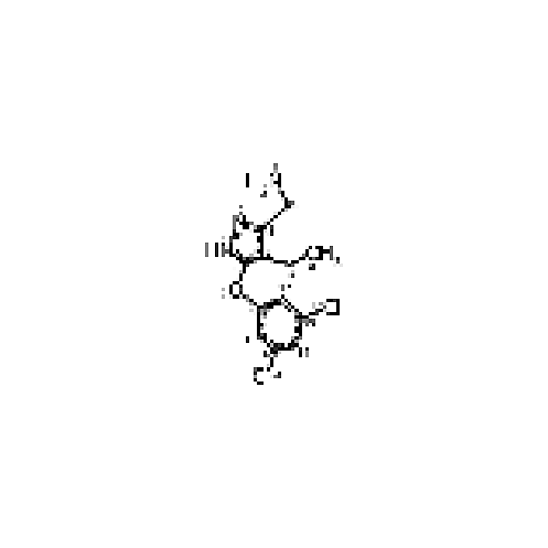 CCc1c(CN)n[nH]c1Oc1cc(Cl)cc(Cl)c1